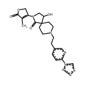 CC1=C(N2CC(O)C3(CCN(CCc4ccc(-n5cnnn5)nc4)CC3)C2=O)COC1=O